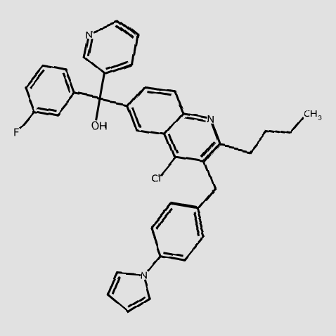 CCCCc1nc2ccc(C(O)(c3cccnc3)c3cccc(F)c3)cc2c(Cl)c1Cc1ccc(-n2cccc2)cc1